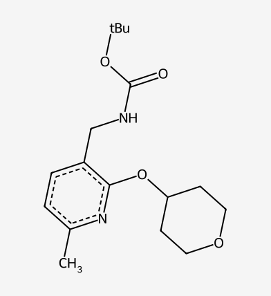 Cc1ccc(CNC(=O)OC(C)(C)C)c(OC2CCOCC2)n1